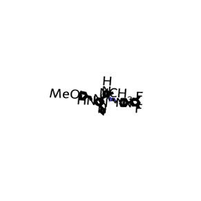 COc1ccc(CNc2cc(N3CCC3)nc(-c3n[nH]c(C)c3/C=C/CN3CCN(c4cc(F)cc(F)c4)CC3)n2)cc1